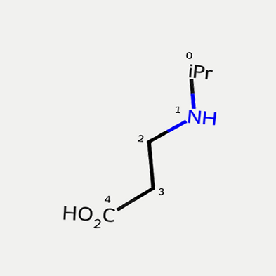 CC(C)NCCC(=O)O